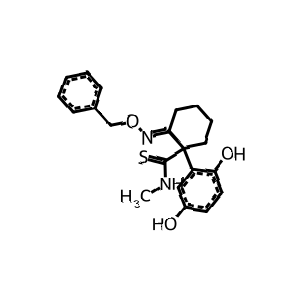 CNC(=S)C1(c2cc(O)ccc2O)CCCCC1=NOCc1ccccc1